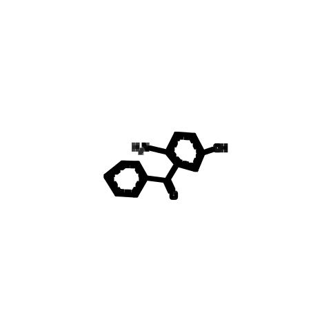 Nc1ccc(O)cc1C(=O)c1ccccc1